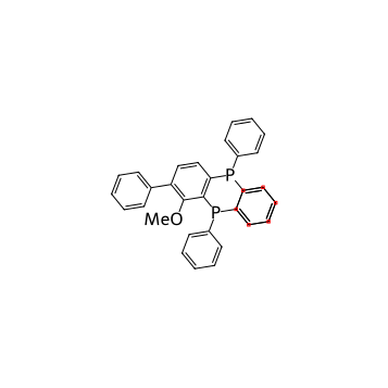 COc1c(-c2ccccc2)ccc(P(c2ccccc2)c2ccccc2)c1P(c1ccccc1)c1ccccc1